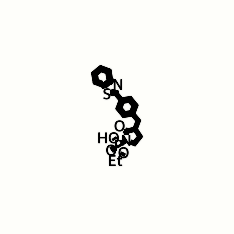 CCOP(=O)(O)N1CCC(Cc2ccc(-c3nc4ccccc4s3)cc2)C1=O